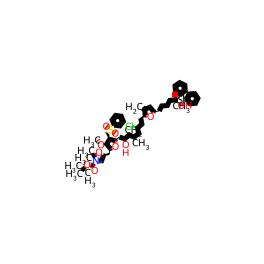 C=C([C@H](C)C[C@@H](Cl)CC[C@@H]1O[C@@H](CCCCC(C)(C)[Si](O)(c2ccccc2)c2ccccc2)CC1=C)[C@H](O)C[C@@H]1O[C@H](C[C@H]2CN(C(=O)OC(C)(C)C)C(C)(C)O2)[C@H](OC)[C@H]1CS(=O)(=O)c1ccccc1